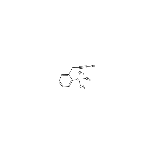 C[Si](C)(C)c1ccccc1CC#CO